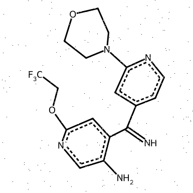 N=C(c1ccnc(N2CCOCC2)c1)c1cc(OCC(F)(F)F)ncc1N